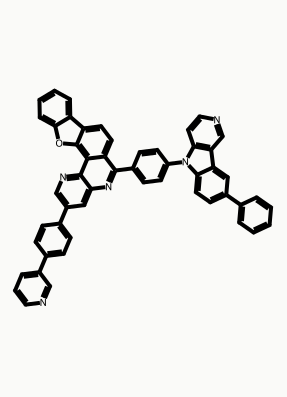 c1ccc(-c2ccc3c(c2)c2cnccc2n3-c2ccc(-c3nc4cc(-c5ccc(-c6cccnc6)cc5)cnc4c4c3ccc3c5ccccc5oc34)cc2)cc1